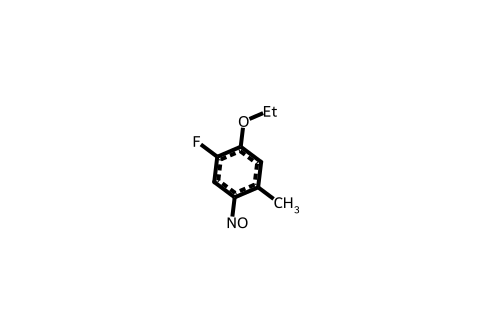 CCOc1cc(C)c(N=O)cc1F